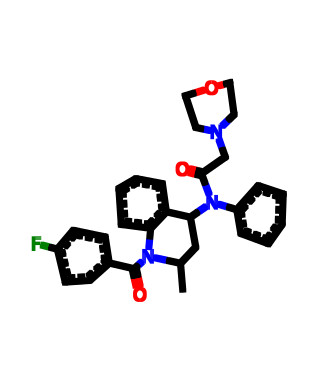 CC1CC(N(C(=O)CN2CCOCC2)c2ccccc2)c2ccccc2N1C(=O)c1ccc(F)cc1